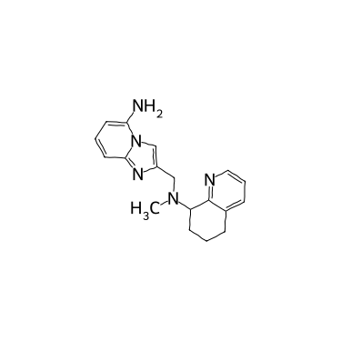 CN(Cc1cn2c(N)cccc2n1)C1CCCc2cccnc21